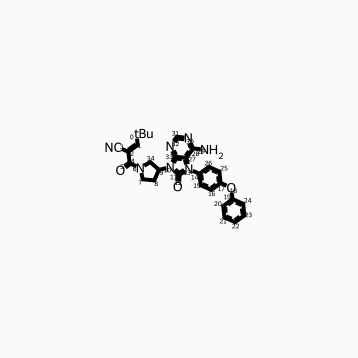 CC(C)(C)C=C(C#N)C(=O)N1CCC(n2c(=O)n(-c3ccc(Oc4ccccc4)cc3)c3c(N)ncnc32)C1